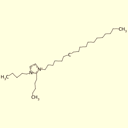 CCCCCCCCCCCCCCCCCCC[n+]1ccn(CCCCC)c1CCCCC